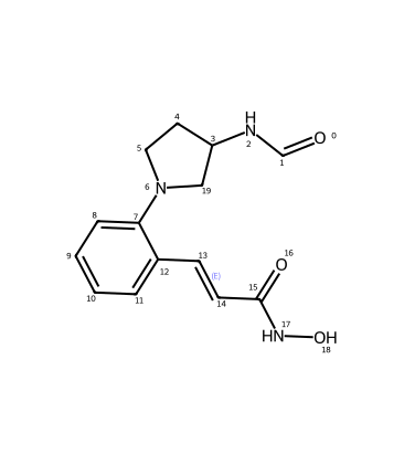 O=CNC1CCN(c2ccccc2/C=C/C(=O)NO)C1